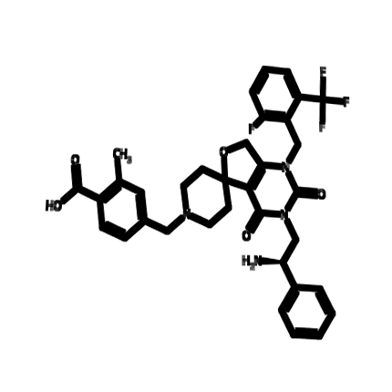 Cc1cc(CN2CCC3(CC2)OCc2c3c(=O)n(C[C@H](N)c3ccccc3)c(=O)n2Cc2c(F)cccc2C(F)(F)F)ccc1C(=O)O